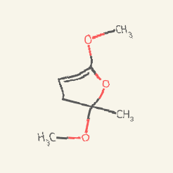 COC1=CCC(C)(OC)O1